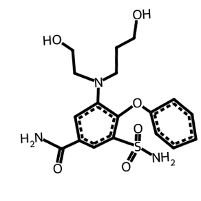 NC(=O)c1cc(N(CCO)CCCO)c(Oc2ccccc2)c(S(N)(=O)=O)c1